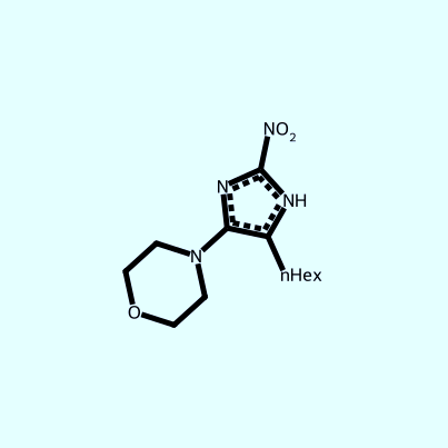 CCCCCCc1[nH]c([N+](=O)[O-])nc1N1CCOCC1